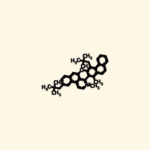 Cc1c2c(c(CC(C)(C)C)c3c1ccc1ccccc13)Oc1cc3ccc(CC(C)(C)C)cc3c3cc[n+](C)c-2c13